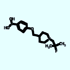 CC(C)(F)CN1CCC(COc2ccc(B(O)O)cc2)CC1